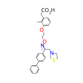 Cc1c(CC(=O)O)cccc1OCCO/N=C(\CN1CCSC1)c1ccc(-c2ccccc2)cc1